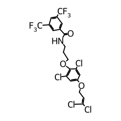 O=C(NCCCOc1c(Cl)cc(OCC=C(Cl)Cl)cc1Cl)c1cc(C(F)(F)F)cc(C(F)(F)F)c1